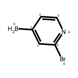 Bc1ccnc(Br)c1